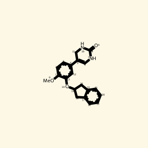 COc1ccc(C2=CNC(=O)NC2)cc1OC1Cc2ccccc2C1